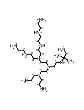 CC(C)(CN)NCCN(CCN(CCN)CCN)CCN(CCNCCN)CCNCCNCCN